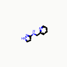 c1ccc(CNc2cc[nH]n2)nc1